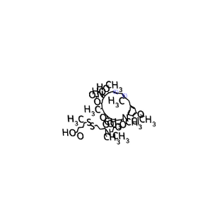 COc1cc2cc(c1Cl)N(C)C(=O)CC(OC(=O)C(C)N(C)C(=O)CCSSC(C)CCC(=O)O)C1(C)OC1C(C)C1CC(O)(NC(=O)O1)C(OC)/C=C/C=C(\C)C2